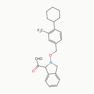 O=CC(=O)C1c2ccccc2CN1OCc1ccc(C2CCCCC2)c(C(F)(F)F)c1